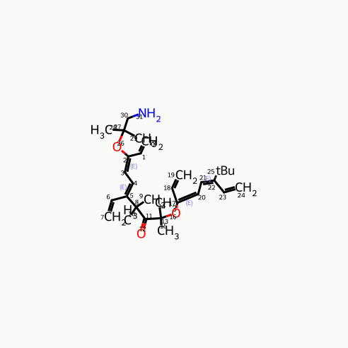 C=C/C(=C\C=C(/C=C)C(C)(C)C(=O)C(C)(C)O/C(C=C)=C/C=C(\C=C)C(C)(C)C)OC(C)(C)CN